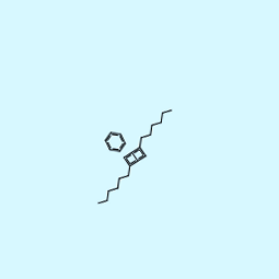 CCCCCCc1cc2c(CCCCCC)cc1-2.c1ccccc1